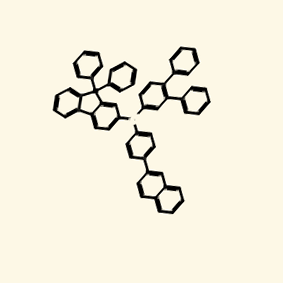 c1ccc(-c2ccc(N(c3ccc(-c4ccc5ccccc5c4)cc3)c3ccc4c(c3)C(c3ccccc3)(c3ccccc3)c3ccccc3-4)cc2-c2ccccc2)cc1